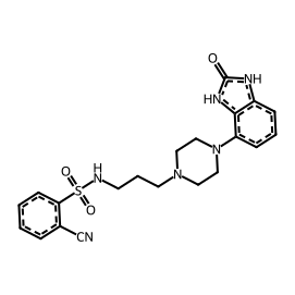 N#Cc1ccccc1S(=O)(=O)NCCCN1CCN(c2cccc3[nH]c(=O)[nH]c23)CC1